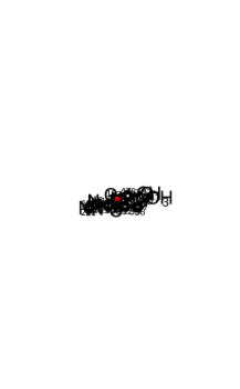 CCCc1ccc(CNC(=O)C2CN(c3cnc4cnccc4n3)CCN2S(=O)(=O)c2ccc(-c3cccc(OCC(=O)O)c3)cc2)cc1